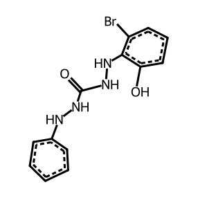 O=C(NNc1ccccc1)NNc1c(O)cccc1Br